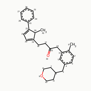 Cc1ccc(CC2CCOCC2)cc1CC(=O)CCC1=CC=C(c2ccccc2)C1C